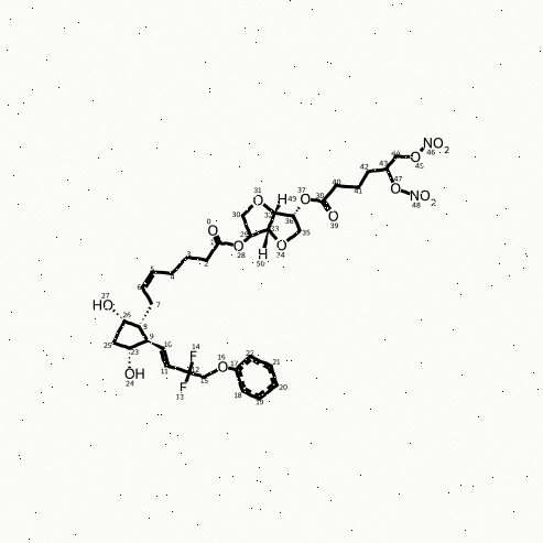 O=C(CCC/C=C\C[C@@H]1[C@@H](/C=C/C(F)(F)COc2ccccc2)[C@H](O)C[C@@H]1O)OC1CO[C@H]2[C@@H]1OC[C@H]2OC(=O)CCCC(CO[N+](=O)[O-])O[N+](=O)[O-]